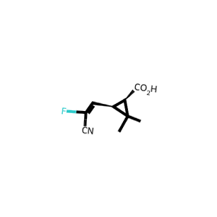 CC1(C)[C@H](C(=O)O)[C@@H]1/C=C(/F)C#N